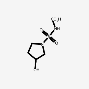 O=C(O)NS(=O)(=O)N1CCC(O)C1